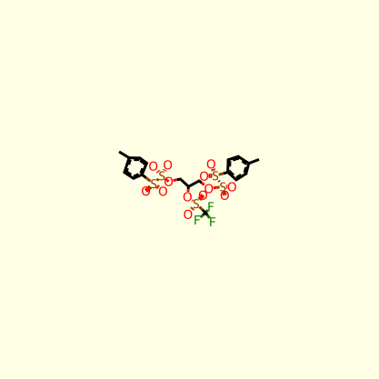 Cc1ccc(S(=O)(=O)S(=O)(=O)OCC(COS(=O)(=O)S(=O)(=O)c2ccc(C)cc2)OS(=O)(=O)C(F)(F)F)cc1